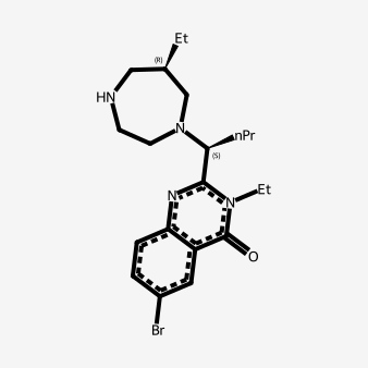 CCC[C@@H](c1nc2ccc(Br)cc2c(=O)n1CC)N1CCNC[C@@H](CC)C1